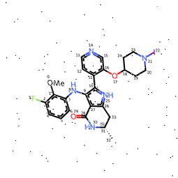 COc1c(F)cccc1Nc1c(-c2ccncc2OC2CCN(I)CC2)[nH]c2c1C(=O)N[C@@H](C)C2